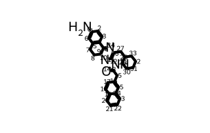 Nc1ccc2c(c1)CCc1nc(NC(=O)Cc3ccc4ccccc4c3)c(CC3CCCCC3)nc1-2